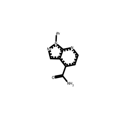 CC(C)n1ncc2c(C(N)=O)[c]cnc21